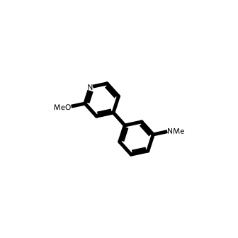 [CH2]Nc1cccc(-c2ccnc(OC)c2)c1